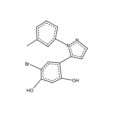 Cc1cccc(-n2nccc2-c2cc(Br)c(O)cc2O)c1